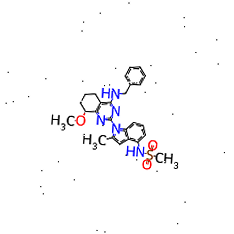 CO[C@H]1CCCc2c(NCc3ccccc3)nc(-n3c(C)cc4c(NS(C)(=O)=O)cccc43)nc21